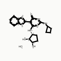 Cl.O=c1[nH]c(NC2CCC2)nc(N[C@@H]2CC[C@@H](O)[C@H]2O)c1-c1nc2ccccc2s1